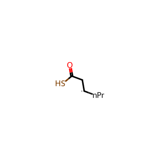 CCC[CH]CC(=O)S